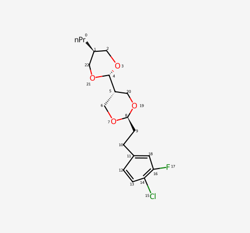 CCC[C@H]1CO[C@H]([C@H]2CO[C@H](CCc3ccc(Cl)c(F)c3)OC2)OC1